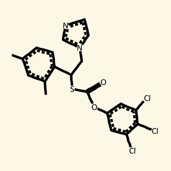 Cc1ccc(C(Cn2ccnc2)SC(=O)Oc2cc(Cl)c(Cl)c(Cl)c2)c(C)c1